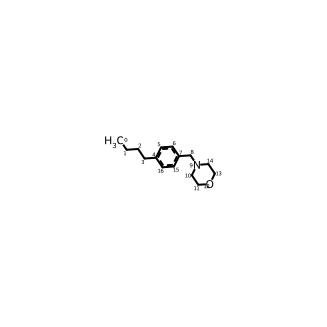 CCCCc1ccc(CN2CCOCC2)cc1